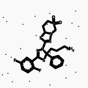 NCCCC1(c2ccccc2)SC(c2cc(F)ccc2F)=NN1C1=NN2CS(=O)(=O)CCC2S1